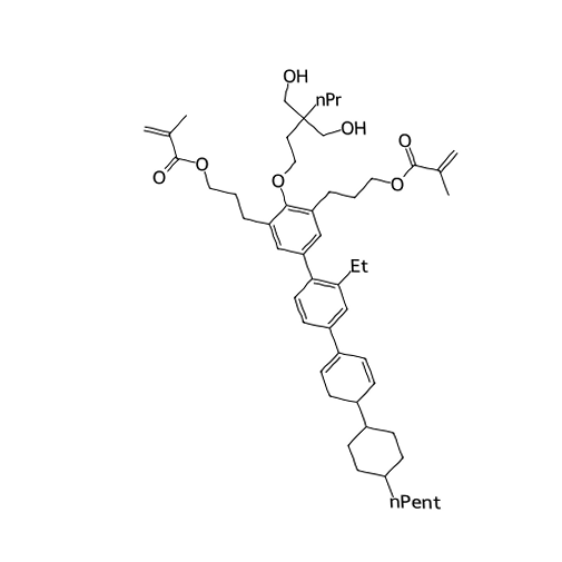 C=C(C)C(=O)OCCCc1cc(-c2ccc(C3=CCC(C4CCC(CCCCC)CC4)C=C3)cc2CC)cc(CCCOC(=O)C(=C)C)c1OCCC(CO)(CO)CCC